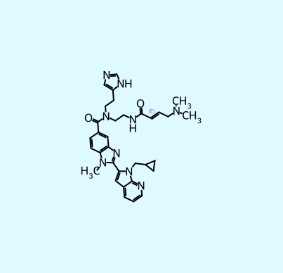 CN(C)C/C=C/C(=O)NCCN(CCc1cnc[nH]1)C(=O)c1ccc2c(c1)nc(-c1cc3cccnc3n1CC1CC1)n2C